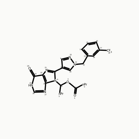 CCCC(=O)OC(CCC)n1c(-c2cnn(Cc3cccc(C(F)(F)F)c3)c2)nc2c(=O)[nH]cnc21